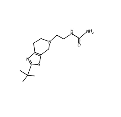 CC(C)(C)c1nc2c(s1)CN(CCNC(N)=O)CC2